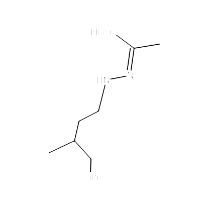 C/C(=N/NCCC(C)CC(C)C)C(=O)O